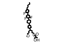 C=C(CO)C(=O)OCCCC(CCCOC)c1ccc(C2CCC(c3c(F)cc(-c4ccc(CCCCC)cc4F)cc3F)CC2)cc1